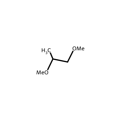 [CH2]OCC(C)O[CH2]